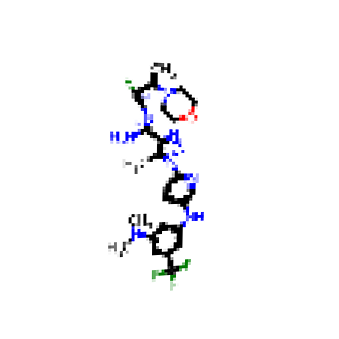 C=C(/C(F)=C\N=C(/N)c1nnn(-c2ccc(Nc3cc(N(C)C)cc(C(F)(F)F)c3)cn2)c1C)N1CCOCC1